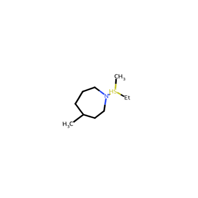 CC[SH](C)N1CCCC(C)CC1